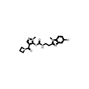 Cn1ncc(C(=O)N2CCC2)c1OC(=O)NCCc1nc2cc(Cl)ccc2n1C